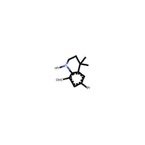 CCCN1CCC(C)(C)c2cc(C(C)C)cc(C=O)c21